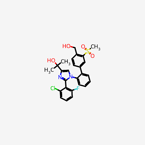 CC(C)(O)c1cn(-c2ccccc2-c2ccc(CO)c(S(C)(=O)=O)c2)c(-c2c(F)cccc2Cl)n1